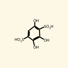 O=S(=O)(O)c1cc(O)c(S(=O)(=O)O)c(O)c1O